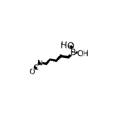 O=C=NCCCCCB(O)O